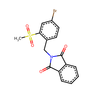 CS(=O)(=O)c1cc(Br)ccc1CN1C(=O)c2ccccc2C1=O